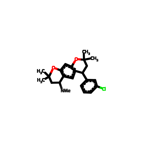 CNC1CC(C)(C)Oc2cc3c(cc21)C(c1cccc(Cl)c1)CC(C)(C)O3